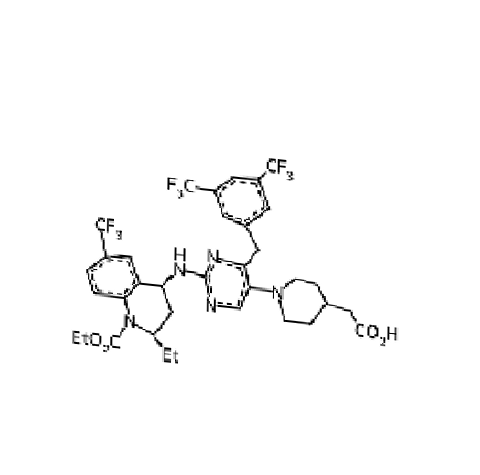 CCOC(=O)N1c2ccc(C(F)(F)F)cc2[C@@H](Nc2ncc(N3CCC(CC(=O)O)CC3)c(Cc3cc(C(F)(F)F)cc(C(F)(F)F)c3)n2)C[C@H]1CC